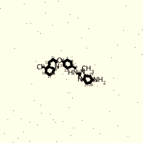 Cn1c(NCc2ccc(Oc3ccc4c(Cl)cccc4n3)cc2)nc2ccc(N)cc21